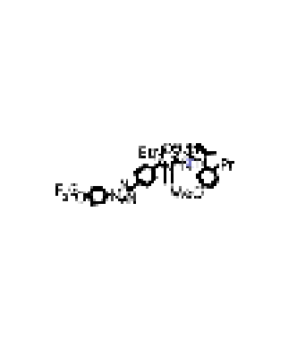 CCN(C(=O)O)C(NC(=S)/N=c1\scc(C)n1-c1cc(OC)ccc1C(C)C)c1ccc(-c2ncn(-c3ccc(OC(F)(F)F)cc3)n2)cc1